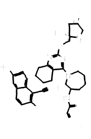 C#Cc1c(F)ccc2cc(O)cc([C@H]3CCc4c(nc(OC[C@]5(C)C[C@@H](F)CN5C)nc4N4CCCCC(NC(=O)C=C)C4)C3)c12